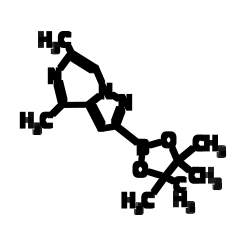 Cc1cn2nc(B3OC(C)(C)C(C)(C)O3)cc2c(C)n1